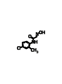 Cc1cc(Cl)ccc1NC(=O)C=NO